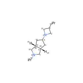 CC(C)C1CN(C2C[C@@H]3CN(C(C)C)C[C@@H]3C2)C1